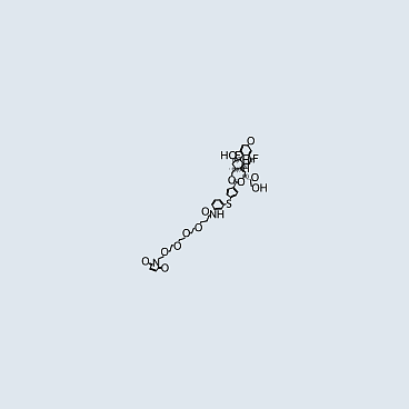 C[C@@]12CO[C@H](c3ccc(Sc4cccc(NC(=O)CCOCCOCCOCCOCCN5C(=O)C=CC5=O)c4)cc3)O[C@@H](C(=O)CO)C[C@H]1[C@@H]1C[C@H](F)C3=CC(=O)C=C=C3[C@@]1(F)[C@@H](O)C2